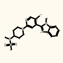 CN(C1CCN(c2cc(-c3nc4ccccc4n3C)c(I)cn2)CC1)S(C)(=O)=O